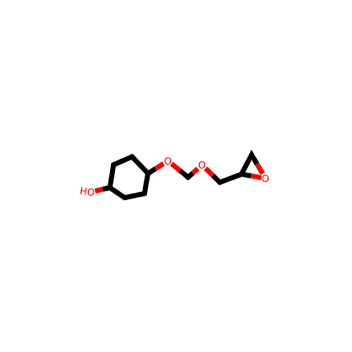 OC1CCC(OCOCC2CO2)CC1